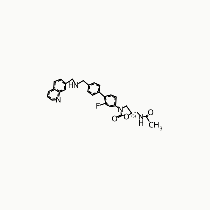 CC(=O)NC[C@H]1CN(c2ccc(-c3ccc(CNCc4ccc5cccnc5c4)cc3)c(F)c2)C(=O)O1